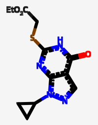 CCOC(=O)CSc1nc2c(cnn2C2CC2)c(=O)[nH]1